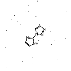 c1c[nH]c(-n2cnnn2)n1